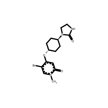 Cn1cc(Br)c(O[C@H]2CC[C@H](N3CCNC3=O)CC2)cc1=O